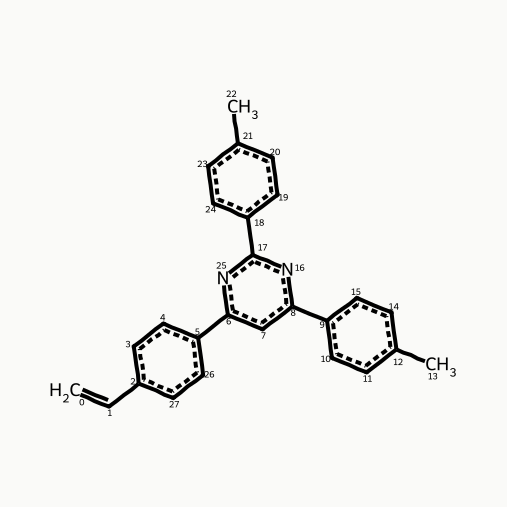 C=Cc1ccc(-c2cc(-c3ccc(C)cc3)nc(-c3ccc(C)cc3)n2)cc1